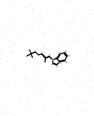 C/C(=C\CCC(C)(C)C)Cn1ccc2ccccc21